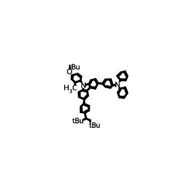 CC1C=C(OC(C)(C)C)C=CC1n1c2ccc(-c3ccc(C(CC(C)(C)C)C(C)(C)C)cc3)cc2c2cc(-c3ccc(N(c4ccccc4)c4ccccc4)cc3)ccc21